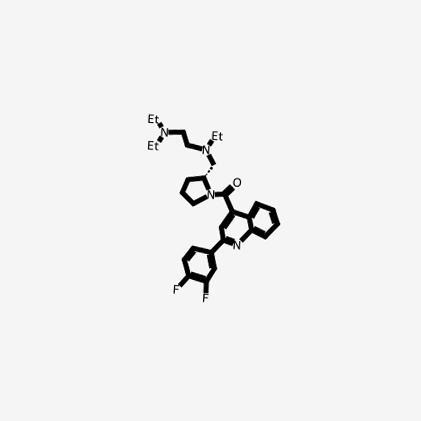 CCN(CC)CCN(CC)C[C@H]1CCCN1C(=O)c1cc(-c2ccc(F)c(F)c2)nc2ccccc12